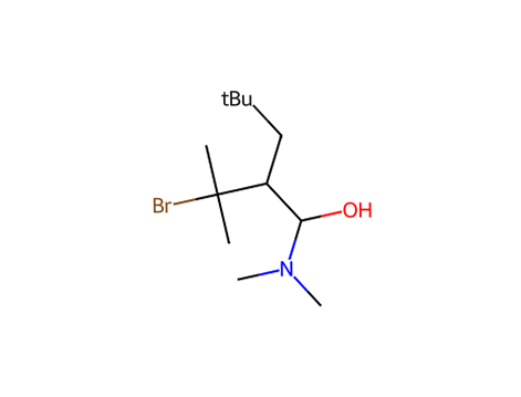 CN(C)C(O)C(CC(C)(C)C)C(C)(C)Br